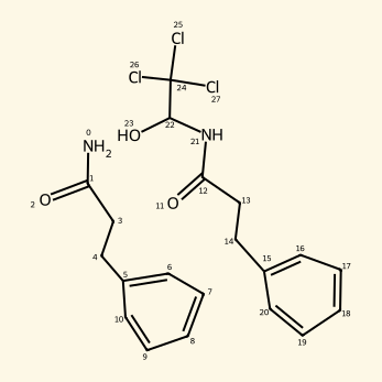 NC(=O)CCc1ccccc1.O=C(CCc1ccccc1)NC(O)C(Cl)(Cl)Cl